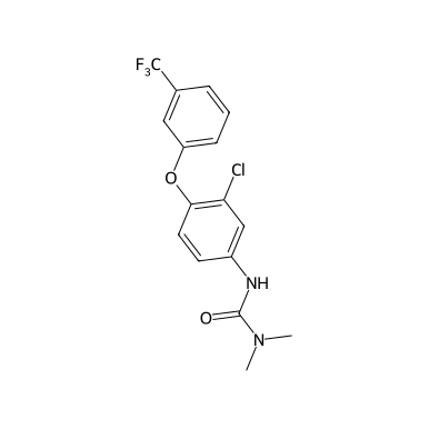 CN(C)C(=O)Nc1ccc(Oc2cccc(C(F)(F)F)c2)c(Cl)c1